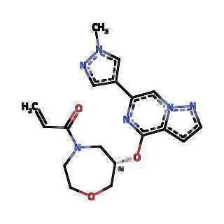 C=CC(=O)N1CCOC[C@@H](Oc2nc(-c3cnn(C)c3)cn3nccc23)C1